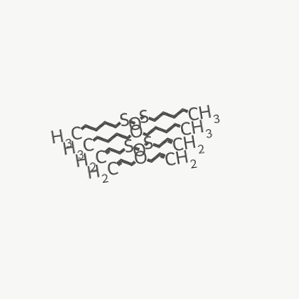 C=CCOCC=C.C=CCSOSCC=C.CCCCCOCCCCC.CCCCCSOSCCCCC